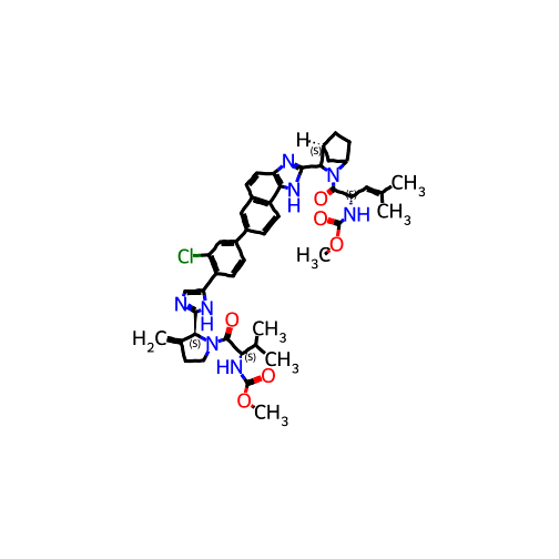 C=C1CCN(C(=O)[C@@H](NC(=O)OC)C(C)C)[C@@H]1c1ncc(-c2ccc(-c3ccc4c(ccc5nc(C6[C@H]7CCC(C7)N6C(=O)[C@H](C=C(C)C)NC(=O)OC)[nH]c54)c3)cc2Cl)[nH]1